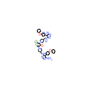 Nc1ncnc(NCC2CCN(C(=CCl)C(=O)C(=CCl)N3CCC(CNc4ncnc(N)c4-c4ccc(Oc5ccccc5)cc4)CC3)CC2)c1-c1ccc(Oc2ccccc2)cc1